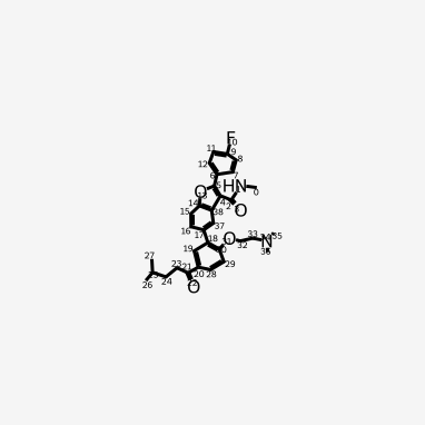 CNC(=O)c1c(-c2ccc(F)cc2)oc2ccc(-c3cc(C(=O)CCC(C)C)ccc3OCCN(C)C)cc12